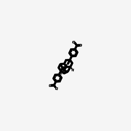 O=C(Cl)c1ccc(C23CC4C5CC6(c7ccc(C(=O)Cl)cc7)C[C@H]4C(C2)[C@H](C6)C5C3)cc1